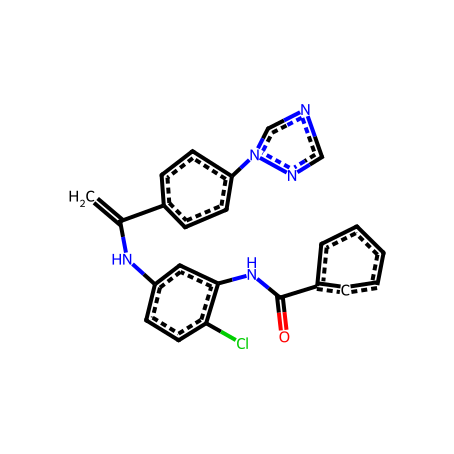 C=C(Nc1ccc(Cl)c(NC(=O)c2ccccc2)c1)c1ccc(-n2cncn2)cc1